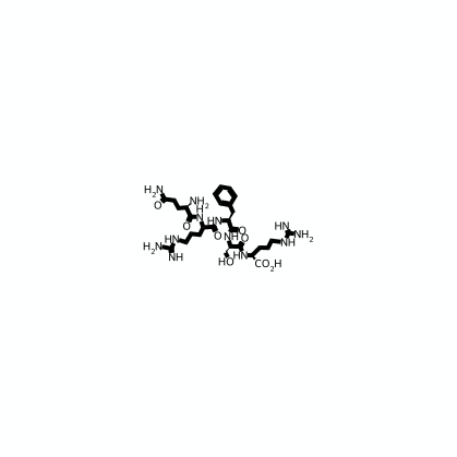 N=C(N)NCCCC(NC(=O)[C@@H](N)CCC(N)=O)C(=O)N[C@@H](Cc1ccccc1)C(=O)N[C@@H](CO)C(=O)N[C@@H](CCCNC(=N)N)C(=O)O